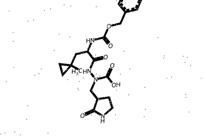 CC1(CC(NC(=O)OCc2ccccc2)C(=O)NN(CC2CCNC2=O)C(=O)O)CC1